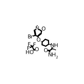 C[C@H](N[C@H]1CC[C@H](Oc2cc(=O)n(C)cc2Br)CC1)C(N)=O.O=C(O)C(F)(F)F